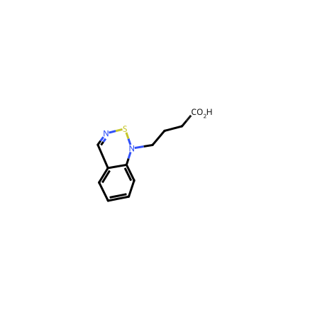 O=C(O)CCCN1SN=Cc2ccccc21